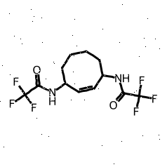 O=C(NC1/C=C\C(NC(=O)C(F)(F)F)CCCC1)C(F)(F)F